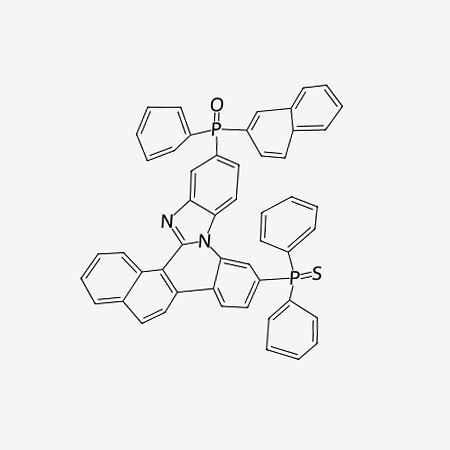 O=P(c1ccccc1)(c1ccc2ccccc2c1)c1ccc2c(c1)nc1c3c4ccccc4ccc3c3ccc(P(=S)(c4ccccc4)c4ccccc4)cc3n21